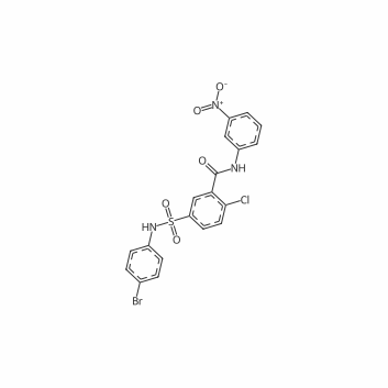 O=C(Nc1cccc([N+](=O)[O-])c1)c1cc(S(=O)(=O)Nc2ccc(Br)cc2)ccc1Cl